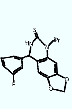 CC(C)N1C(=S)NC(c2cccc(F)c2)c2cc3c(cc21)OCO3